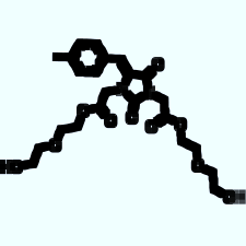 Cc1ccc(C=C2C(=O)N(CC(=O)OCCOCCO)C(=O)N2CC(=O)OCCOCCO)cc1